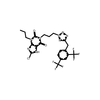 CCCn1c(=O)n(CCCn2nnc(Cc3ccc(C(F)(F)F)cc3C(F)(F)F)n2)c(=O)c2[nH]c(Cl)nc21